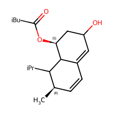 CCC(C)C(=O)O[C@H]1CC(O)C=C2C=C[C@@H](C)C(C(C)C)C21